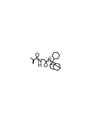 C=C(C)C(=O)NCC(=O)N(C)C1(C2CCCCC2)C2CC3CC(C2)CC1C3